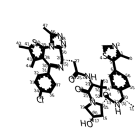 Cc1ncsc1-c1ccc([C@H](C)NC(=O)[C@@H]2C[C@@H](O)CN2C(=O)[C@@H](NC(=O)C[C@@H]2N=C(c3ccc(Cl)cc3)c3c(sc(C)c3C)-n3c(C)nnc32)C(C)(C)C)cc1